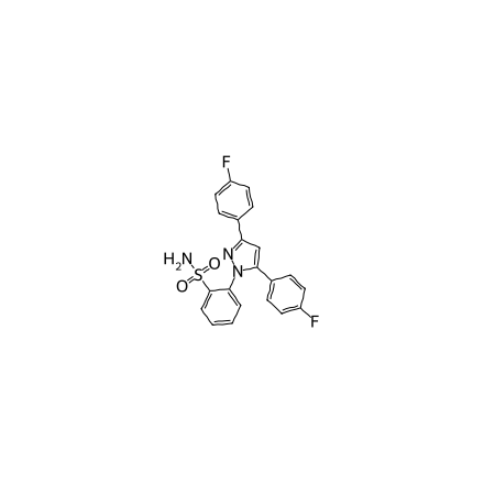 NS(=O)(=O)c1ccccc1-n1nc(-c2ccc(F)cc2)cc1-c1ccc(F)cc1